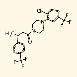 CC(CC(=O)N1CCN(c2cc(C(F)(F)F)ccc2Cl)CC1)c1ccc(C(F)(F)F)cc1